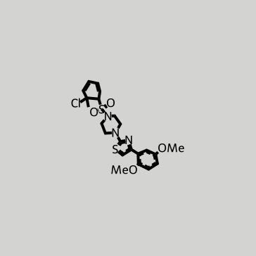 COc1ccc(OC)c(-c2csc(N3CCN(S(=O)(=O)C4C=CC=CC4(C)Cl)CC3)n2)c1